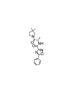 C[C@@H](NC(=O)c1noc(-c2ccccc2)n1)C(=O)N1CCC(C)(C)C1